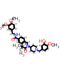 COc1ccc(CN2CCC(N(Cc3ccc(C(=O)NCc4ccc(OC)c(OC)c4)cc3)C(=O)C(C)(C)C)CC2)cc1O